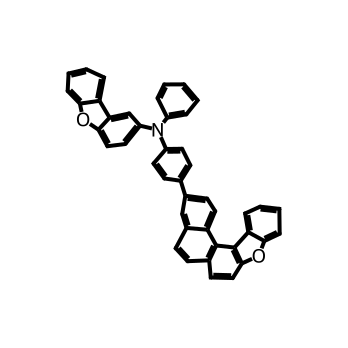 c1ccc(N(c2ccc(-c3ccc4c(ccc5ccc6oc7ccccc7c6c54)c3)cc2)c2ccc3oc4ccccc4c3c2)cc1